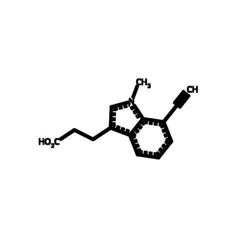 C#Cc1cccc2c(CCC(=O)O)cn(C)c12